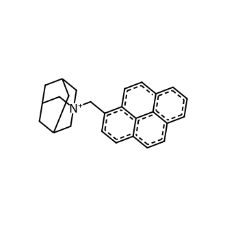 c1cc2ccc3ccc(C[N+]45CC6CC(CC(C6)C4)C5)c4ccc(c1)c2c34